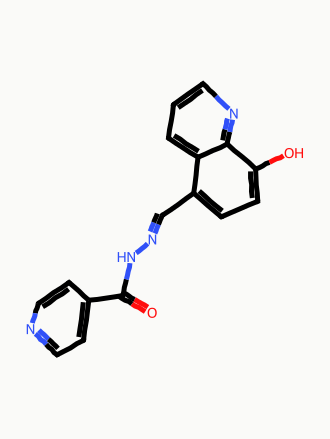 O=C(N/N=C/c1ccc(O)c2ncccc12)c1ccncc1